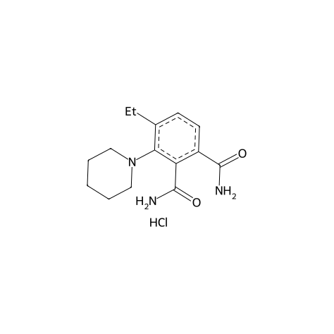 CCc1ccc(C(N)=O)c(C(N)=O)c1N1CCCCC1.Cl